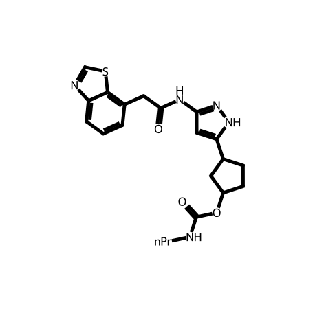 CCCNC(=O)OC1CCC(c2cc(NC(=O)Cc3cccc4ncsc34)n[nH]2)C1